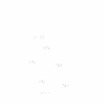 CCCCCCNC(=N)NC(=N)NCc1ccccc1.CS(=O)(=O)O